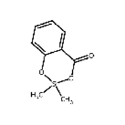 C[Si]1(C)OC(=O)c2ccccc2O1